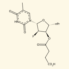 CCC[C@H]1O[C@@H](n2cc(C)c(=O)[nH]c2=O)[C@H](F)[C@@H]1OC(=O)CCC(=O)O